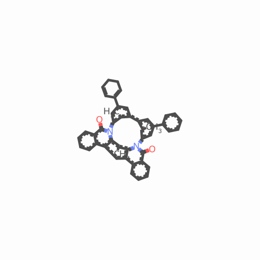 Cc1c2cc(C3=CCCC=C3)cc1n1c(=O)c3ccccc3c3cc4c5ccccc5c(=O)n(c5cc(-c6ccccc6)cc2c5C)c4c(C)c31